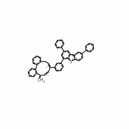 C=C1/C=C\C(c2cccc(-c3cc(-c4ccccc4)cc4c3sc3ccc(-c5ccccc5)cc34)c2)=C/Cc2ccccc2-c2ccccc21